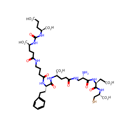 N[C@@H](CNC(=O)CC[C@H](NC(=O)[C@H](CCc1ccccc1)NC(=O)CCCNC(=O)CC[C@H](NC(=O)N[C@@H](CCC(=O)O)C(=O)O)C(=O)O)C(=O)O)C(=O)N[C@@H](CC(=O)O)C(=O)N[C@@H](CS)C(=O)O